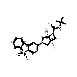 CC(C)(C)OC(=O)N1C[C@H]2CN(c3ccc4c(c3)-c3ccccc3S4(=O)=O)C[C@H]21